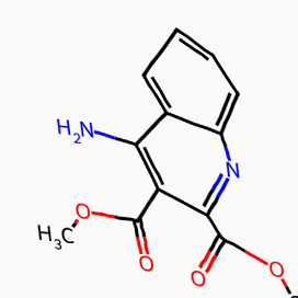 COC(=O)c1nc2ccccc2c(N)c1C(=O)OC